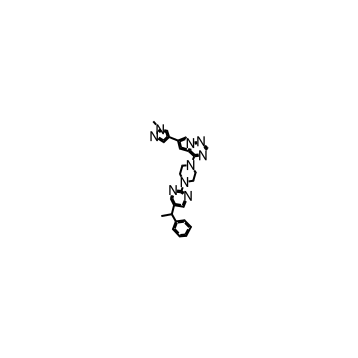 CC(c1ccccc1)c1cnc(N2CCN(c3ncnn4cc(-c5cnn(C)c5)cc34)CC2)nc1